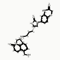 O=C1CSc2ccc(N3C[C@H](CCCN[C@H]4Cn5c(=O)ccc6c(CO)ccc4c65)OC3=O)cc2N1